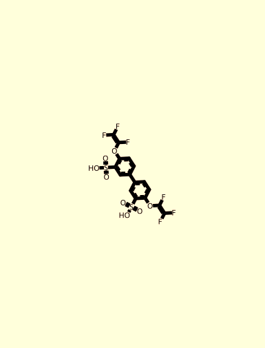 O=S(=O)(O)c1cc(-c2ccc(OC(F)=C(F)F)c(S(=O)(=O)O)c2)ccc1OC(F)=C(F)F